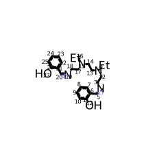 CCN(CC/N=C\c1ccccc1O)CCN(CC)CC/N=C\c1ccccc1O